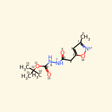 Cc1cc(CC(=O)NNC(=O)OC(C)(C)C)on1